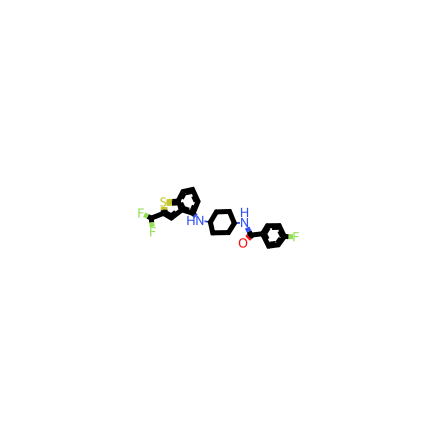 O=C(N[C@H]1CC[C@@H](Nc2cccc3sc(C(F)F)cc23)CC1)c1ccc(F)cc1